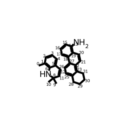 Cc1cccc2c1NC(C)(C)C=C2.Nc1cccc2c1ccc1c3c(ccc12)CCCC3